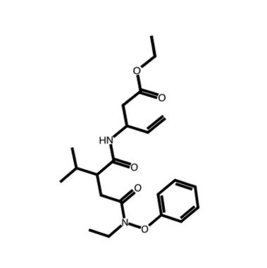 C=CC(CC(=O)OCC)NC(=O)C(CC(=O)N(CC)Oc1ccccc1)C(C)C